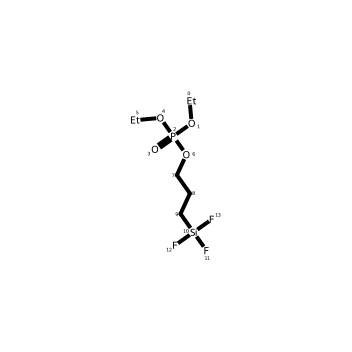 CCOP(=O)(OCC)OCCC[Si](F)(F)F